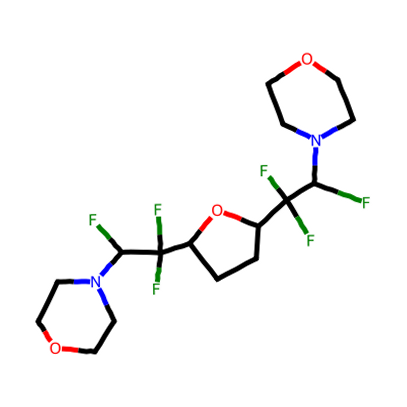 FC(N1CCOCC1)C(F)(F)C1CCC(C(F)(F)C(F)N2CCOCC2)O1